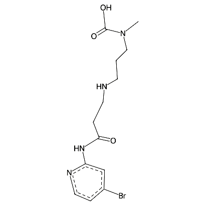 CN(CCCNCCC(=O)Nc1cc(Br)ccn1)C(=O)O